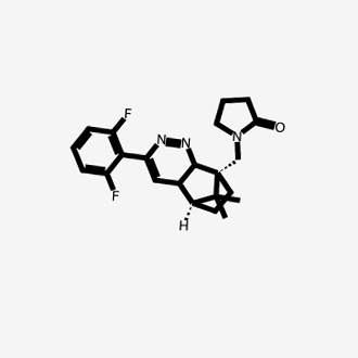 CC1(C)[C@H]2CC[C@]1(CN1CCCC1=O)C1N=NC(c3c(F)cccc3F)=CC12